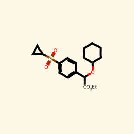 CCOC(=O)C(OC1CCCCC1)c1ccc(S(=O)(=O)C2CC2)cc1